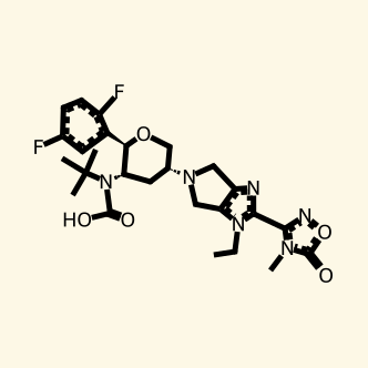 CCn1c(-c2noc(=O)n2C)nc2c1CN([C@H]1CO[C@H](c3cc(F)ccc3F)[C@@H](N(C(=O)O)C(C)(C)C)C1)C2